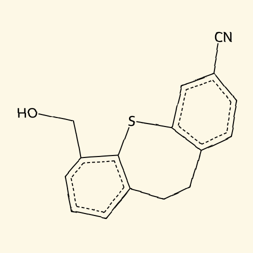 N#Cc1ccc2c(c1)Sc1c(CO)cccc1CC2